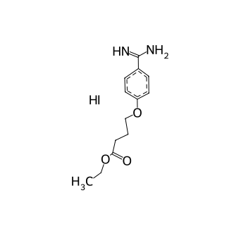 CCOC(=O)CCCOc1ccc(C(=N)N)cc1.I